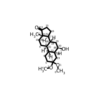 COC1(OC)CC[C@@H]2[C@H]3CC[C@]4(C)C(=O)CC[C@H]4[C@@H]3C[C@@H](O)[C@H]2C1